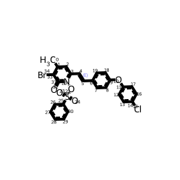 Cc1cc(/C=C/c2ccc(Oc3ccc(Cl)cc3)cc2)n(OS(=O)(=O)c2ccccc2)c(=O)c1Br